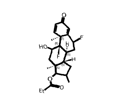 CCC(=O)OC1C(C)C[C@H]2[C@@H]3CC(F)C4=CC(=O)C=C[C@]4(C)[C@@]3(F)C(O)C[C@]12C